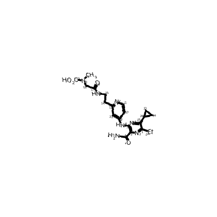 CCc1nc(C(N)=O)c(Nc2ccnc(CCNC(=O)CN(C)C(=O)O)c2)nc1C1CC1